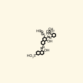 CS(=O)(=O)Nc1ccccc1N=Nc1c(SOOO)cc2ccc(N=Nc3c(O)ccc4cc(S(=O)(=O)O)ccc34)cc2c1O